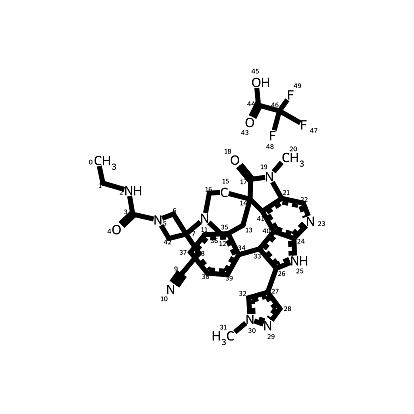 CCNC(=O)N1CC(CC#N)(N2CCC3(CC2)C(=O)N(C)c2cnc4[nH]c(-c5cnn(C)c5)c(-c5ccccc5)c4c23)C1.O=C(O)C(F)(F)F